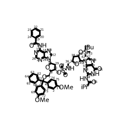 COc1ccc(C(OC[C@H]2O[C@@H](n3cnc4c(NC(=O)c5ccccc5)ncnc43)C[C@@H]2OS(=O)(=O)NC[C@@H]2C[C@@H](O[Si](C)(C)C(C)(C)C)C(n3cnc4c(=O)[nH]c(NC(=O)C(C)C)nc43)O2)(c2ccccc2)c2ccc(OC)cc2)cc1